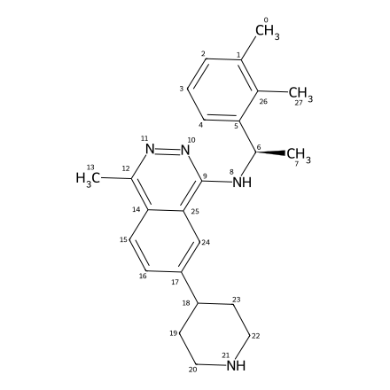 Cc1cccc([C@@H](C)Nc2nnc(C)c3ccc(C4CCNCC4)cc23)c1C